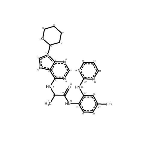 CC(Nc1ncnc2c1ncn2C1CCCCO1)C(=O)Nc1ccc(F)cc1Nc1ncccn1